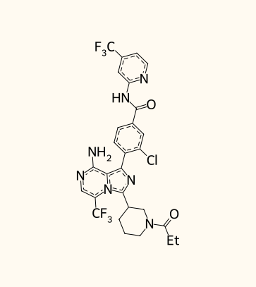 CCC(=O)N1CCCC(c2nc(-c3ccc(C(=O)Nc4cc(C(F)(F)F)ccn4)cc3Cl)c3c(N)ncc(C(F)(F)F)n23)C1